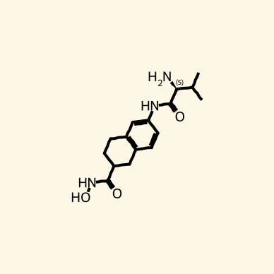 CC(C)[C@H](N)C(=O)Nc1ccc2c(c1)CCC(C(=O)NO)C2